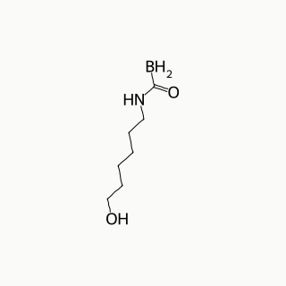 BC(=O)NCCCCCCO